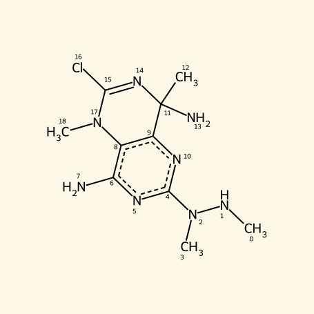 CNN(C)c1nc(N)c2c(n1)C(C)(N)N=C(Cl)N2C